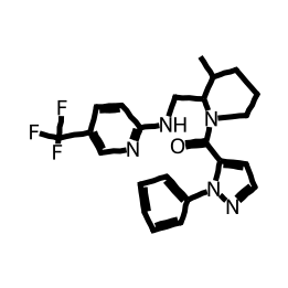 CC1CCCN(C(=O)c2ccnn2-c2ccccc2)C1CNc1ccc(C(F)(F)F)cn1